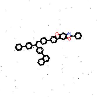 C(=C(\c1ccc(-c2ccccc2)cc1)c1ccc(-c2cccc3ccccc23)cc1)/c1ccc(-c2ccc3c(c2)oc2cc4nc(-c5ccccc5)oc4cc23)cc1